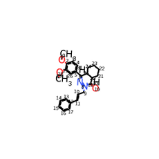 COc1ccc(C2=NN(CC=Cc3ccccc3)C(=O)[C@@H]3CCCC[C@H]23)cc1OC